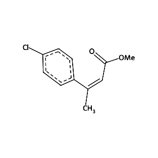 COC(=O)/C=C(/C)c1ccc(Cl)cc1